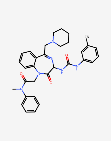 CN(C(=O)CN1C(=O)C(NC(=O)Nc2cccc(C#N)c2)N=C(CN2CCCCC2)c2ccccc21)c1ccccc1